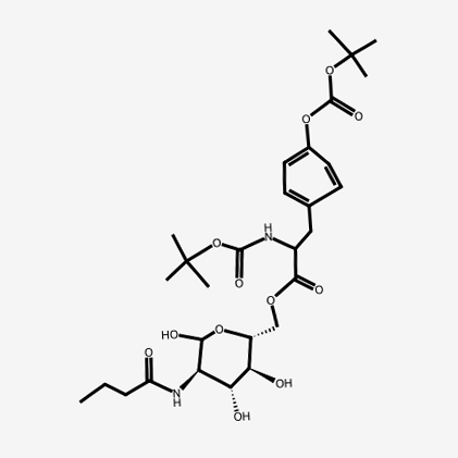 CCCC(=O)N[C@H]1C(O)O[C@H](COC(=O)C(Cc2ccc(OC(=O)OC(C)(C)C)cc2)NC(=O)OC(C)(C)C)[C@@H](O)[C@@H]1O